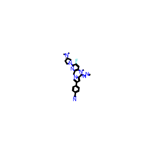 C=N/N=C1/c2cc(-c3ccc(C#N)cc3)cn2Cc2nc(N3CC[C@@H](N(C)C)C3)c(F)cc2N1C